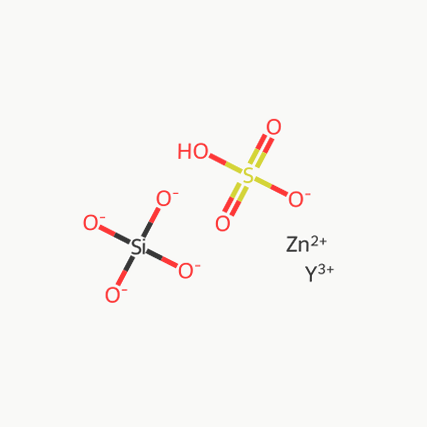 O=S(=O)([O-])O.[O-][Si]([O-])([O-])[O-].[Y+3].[Zn+2]